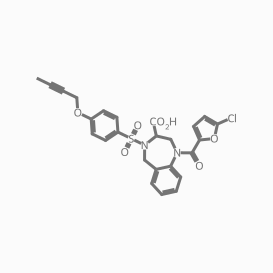 CC#CCOc1ccc(S(=O)(=O)N2Cc3ccccc3N(C(=O)c3ccc(Cl)o3)CC2C(=O)O)cc1